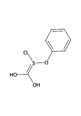 OC(O)=S(Cl)Oc1ccccc1